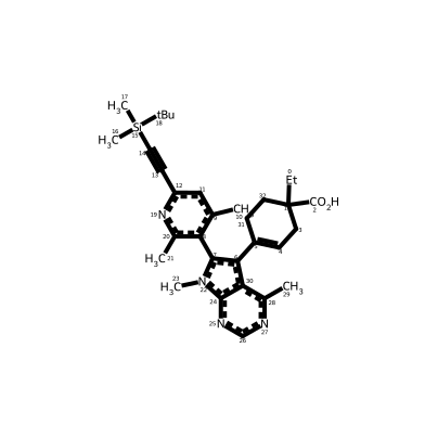 CCC1(C(=O)O)CC=C(c2c(-c3c(C)cc(C#C[Si](C)(C)C(C)(C)C)nc3C)n(C)c3ncnc(C)c23)CC1